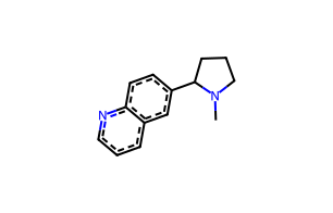 CN1CCCC1c1ccc2ncccc2c1